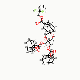 CC(F)(F)COC(=O)C12CC3CC(C1)C1(COC(COC(=O)C45CC6CC(C4)C(=O)C(C6)C5)(COC(=O)C45CC6CC(C4)C(=O)C(C6)C5)CO1)C(C3)C2